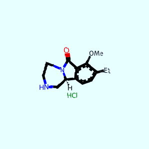 CCc1ccc2c(c1OC)C(=O)N1CCNC[C@H]21.Cl